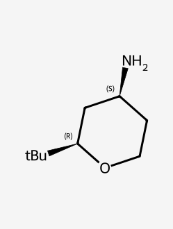 CC(C)(C)[C@H]1C[C@@H](N)CCO1